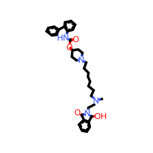 CN(CCCCCCCCN1CCC(OC(=O)Nc2ccccc2-c2ccccc2)CC1)CCN1C(=O)c2ccccc2C1O